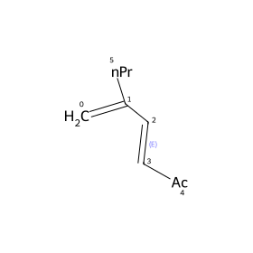 C=C(/C=C/C(C)=O)CCC